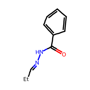 CC/C=N/NC(=O)c1ccccc1